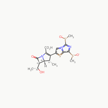 C[C@@H](O)[C@H]1C(=O)N2C(C(=O)O)=C(c3cn4c([S+](C)[O-])nc([S+](C)[O-])c4s3)[C@H](C)[C@H]12